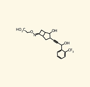 O=C(O)CON=C1CC2C1CC(C#CC(O)c1ccccc1C(F)(F)F)C2O